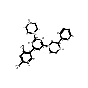 Nc1cc(Cl)c(-c2cc(N3CCOC(c4ccccc4)C3)nc(N3CCOCC3)n2)cn1